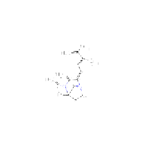 C=CN1C(=C)/C(=C\C=C(/C)C(=C)C)N2CCC1(CC)C2